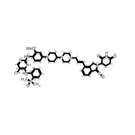 COc1cc(N2CCC(N3CCN(C/C=C/c4cccc5c4CN(C4CCC(=O)NC4=O)C5=C=O)CC3)CC2)ccc1Nc1ncc(Cl)c(Nc2ccccc2P(C)(C)=O)n1